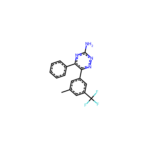 Cc1cc(-c2nnc(N)nc2-c2ccccc2)cc(C(F)(F)F)c1